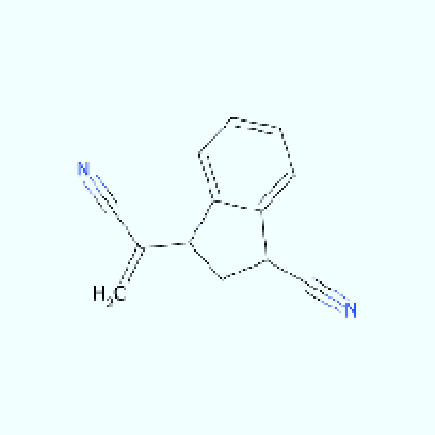 C=C(C#N)C1CC(C#N)c2ccccc21